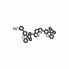 N#Cc1cccc(-c2ccc3c(c2)Oc2ccccc2C32c3ccccc3-c3c(-c4ccnc5c4ccc4ccc(-c6ccc7c(c6)Oc6ccccc6C76c7ccccc7-c7ccccc76)nc45)cccc32)c1